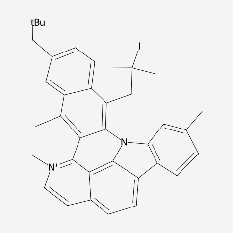 Cc1ccc2c3ccc4cc[n+](C)c5c6c(C)c7cc(CC(C)(C)C)ccc7c(CC(C)(C)I)c6n(c2c1)c3c45